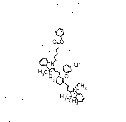 CC[N+]1=C(/C=C/C2=C(Oc3ccccc3)C(C=C=C3N(CCCCCC(=O)Oc4ccccc4)c4ccccc4C3(C)C)CCC2)C(C)(C)c2ccccc21.[Cl-]